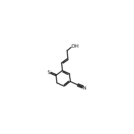 N#CC1=CCC(=S)C(C=CCO)=C1